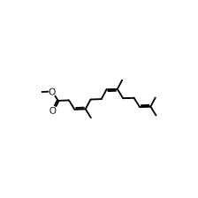 COC(=O)CC=C(C)CCC=C(C)CCC=C(C)C